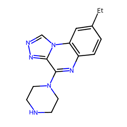 CCc1ccc2nc(N3CCNCC3)c3nncn3c2c1